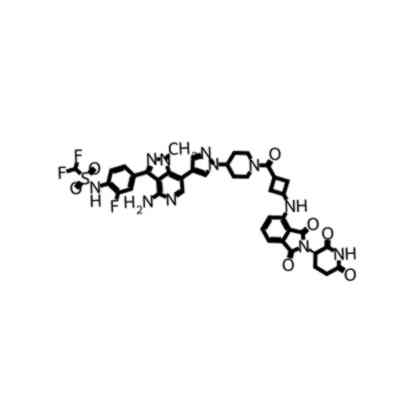 Cn1nc(-c2ccc(NS(=O)(=O)C(F)F)c(F)c2)c2c(N)ncc(-c3cnn(C4CCN(C(=O)C5CC(Nc6cccc7c6C(=O)N([C@@H]6CCC(=O)NC6=O)C7=O)C5)CC4)c3)c21